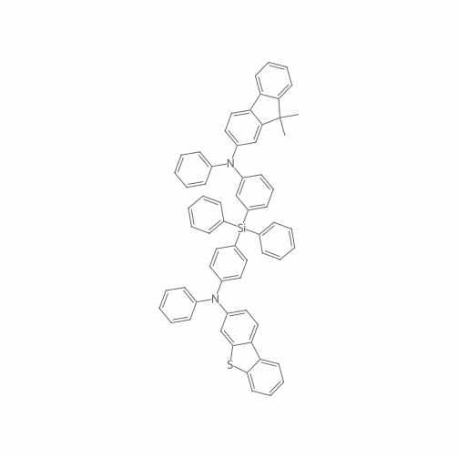 CC1(C)c2ccccc2-c2ccc(N(c3ccccc3)c3cccc([Si](c4ccccc4)(c4ccccc4)c4ccc(N(c5ccccc5)c5ccc6c(c5)sc5ccccc56)cc4)c3)cc21